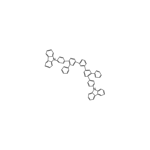 c1ccc(-c2cc(-c3cccc(-c4ccc(-c5ccc(-n6c7ccccc7c7ccccc76)cc5)c(-c5ccccc5)c4)c3)ccc2-c2ccc(-n3c4ccccc4c4ccccc43)cc2)cc1